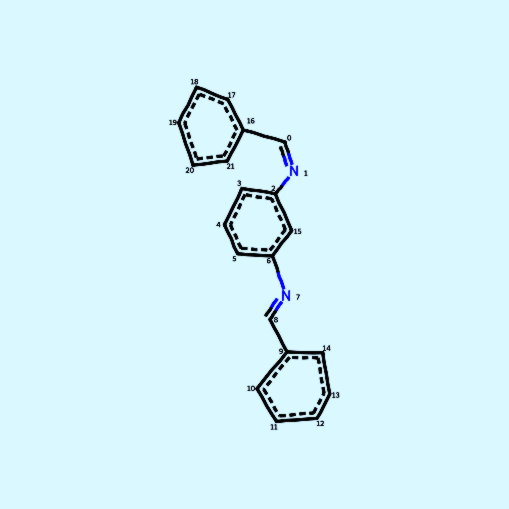 C(=N/c1cccc(/N=C/c2ccccc2)c1)/c1ccccc1